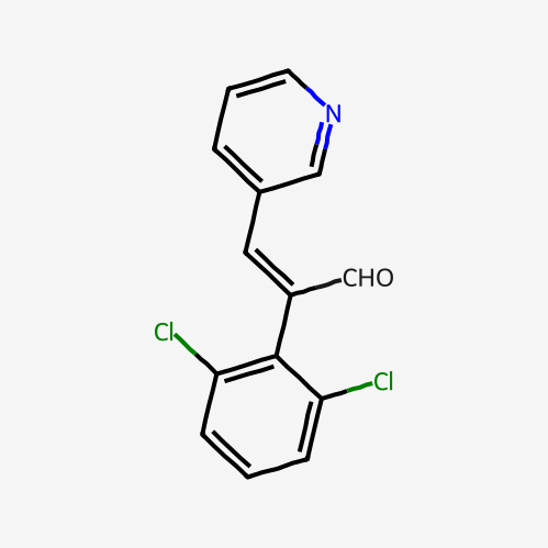 O=CC(=Cc1cccnc1)c1c(Cl)cccc1Cl